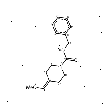 COC=C1CCN(C(=O)OCc2ccccc2)CC1